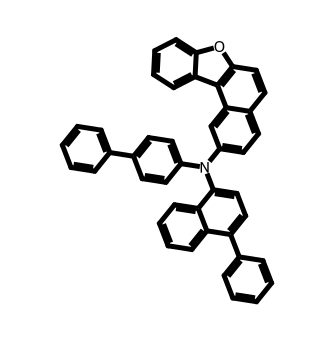 c1ccc(-c2ccc(N(c3ccc4ccc5oc6ccccc6c5c4c3)c3ccc(-c4ccccc4)c4ccccc34)cc2)cc1